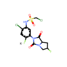 O=C1C2CC(F)CN2C(=O)N1c1cc(NS(=O)(=O)CCl)c(Cl)cc1F.[K]